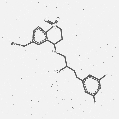 CC(C)Cc1ccc2c(c1)C(NCC(O)CCc1cc(F)cc(F)c1)CCS2(=O)=O